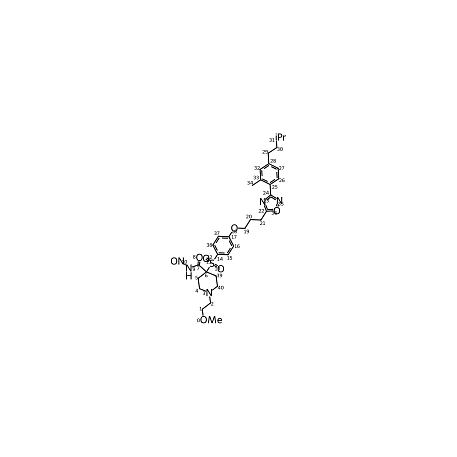 COCCN1CCC(C(=O)NN=O)(S(=O)(=O)c2ccc(OCCCc3nc(-c4ccc(CCC(C)C)cc4C)no3)cc2)CC1